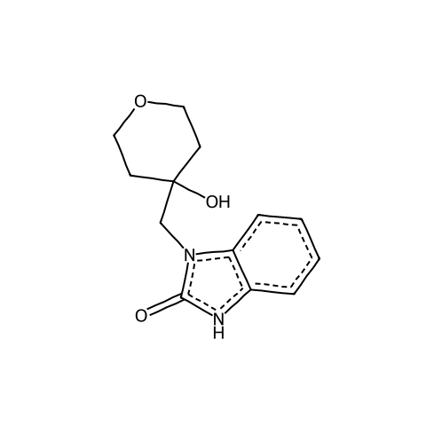 O=c1[nH]c2ccccc2n1CC1(O)CCOCC1